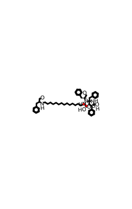 O=CC(Cc1ccccc1)NCCCCCCCCCCCCCCCC[C@@H](Cc1ccccc1)C(Cc1ccccc1)(NC(=O)O)N(NC(=O)O)[C@H](C=O)Cc1ccccc1